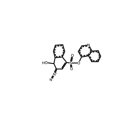 [N-]=[N+]=C1C=C(S(=O)(=O)Oc2ccnc3ccccc23)c2ccccc2C1O